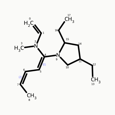 C=CN(C)/C(=C\C=C/C)N1CC(CC)CC1CC